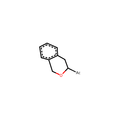 CC(=O)C1Cc2ccccc2CO1